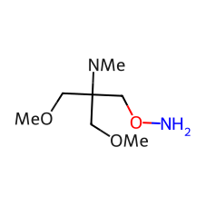 CNC(COC)(COC)CON